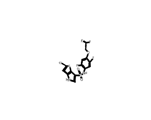 O=S(=O)(Nc1cc(F)c(OCC(F)F)cc1F)c1c[nH]c2cc(Cl)sc12